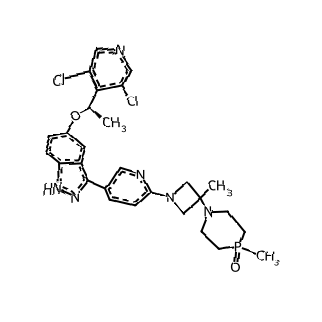 C[C@@H](Oc1ccc2[nH]nc(-c3ccc(N4CC(C)(N5CCP(C)(=O)CC5)C4)nc3)c2c1)c1c(Cl)cncc1Cl